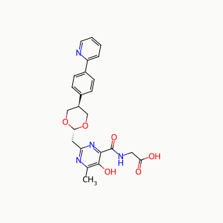 Cc1nc(C[C@H]2OC[C@H](c3ccc(-c4ccccn4)cc3)CO2)nc(C(=O)NCC(=O)O)c1O